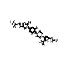 CC(=O)NCC1CN(c2ccc(N3CCN(c4cc(NC=O)sc4[N+](=O)[O-])CC3)c(F)c2)C(=O)O1